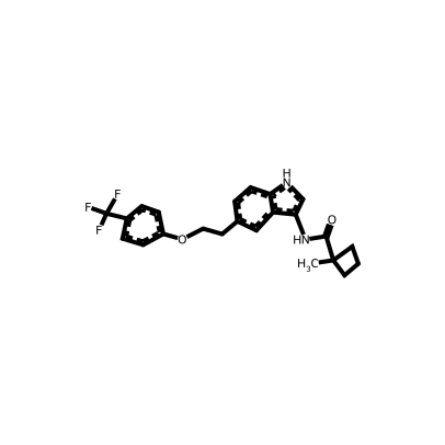 CC1(C(=O)Nc2c[nH]c3ccc(CCOc4ccc(C(F)(F)F)cc4)cc23)CCC1